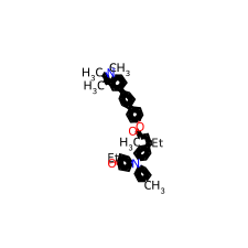 CCOc1ccc(N(c2ccc(C)cc2)c2ccc(C(CC)CC(C)C(=O)Oc3ccc(-c4ccc(-c5ccc6c(c5)c(C)c(C)n6C)cc4)cc3)cc2)cc1